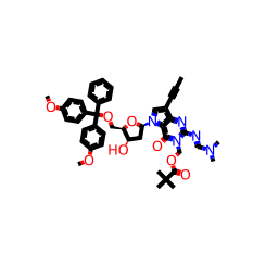 CC#Cc1cn([C@H]2C[C@H](O)[C@@H](COC(c3ccccc3)(c3ccc(OC)cc3)c3ccc(OC)cc3)O2)c2c(=O)n(COC(=O)C(C)(C)C)c(/N=C/N(C)C)nc12